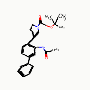 CC(=O)Nc1cc(-c2ccccc2)ccc1C1CCN(C(=O)OC(C)(C)C)C1